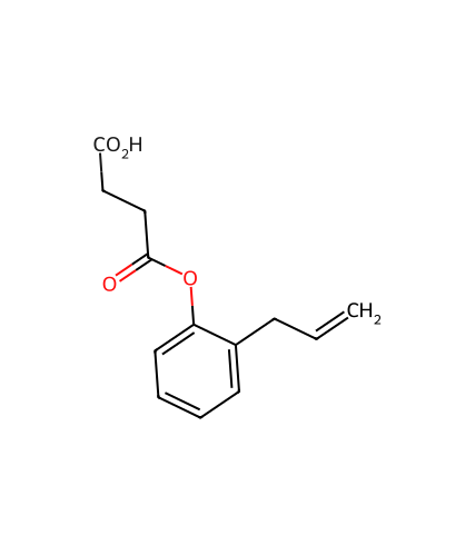 C=CCc1ccccc1OC(=O)CCC(=O)O